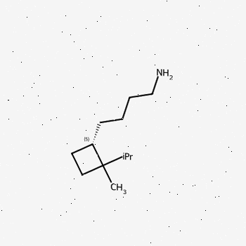 CC(C)C1(C)CC[C@@H]1CCCCN